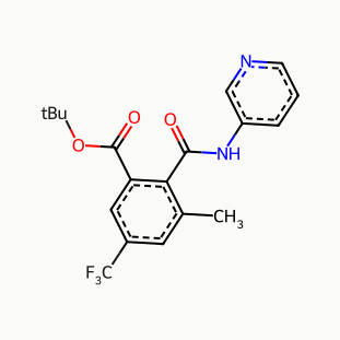 Cc1cc(C(F)(F)F)cc(C(=O)OC(C)(C)C)c1C(=O)Nc1cccnc1